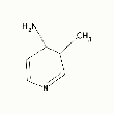 CC1C=NC=CC1N